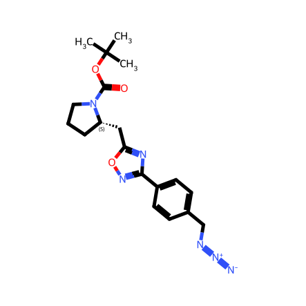 CC(C)(C)OC(=O)N1CCC[C@H]1Cc1nc(-c2ccc(CN=[N+]=[N-])cc2)no1